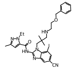 CCn1nc(C)cc1C(=O)Nc1nc2cc(C#N)cc(I)c2n1CC(C)(C)CNCCOCc1ccccc1